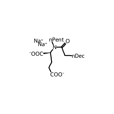 CCCCCCCCCCCC(=O)N(CCCCC)[C@@H](CCC(=O)[O-])C(=O)[O-].[Na+].[Na+]